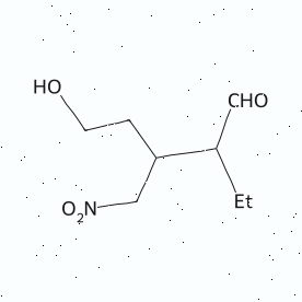 CCC(C=O)C(CCO)C[N+](=O)[O-]